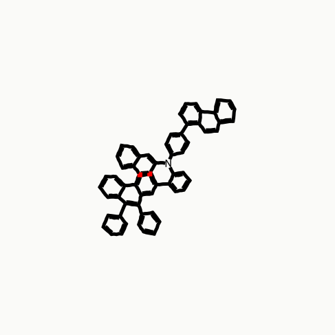 c1ccc(-c2c(-c3ccccc3)c3cc(-c4ccccc4N(c4ccc(-c5cccc6c5ccc5ccccc56)cc4)c4ccc5ccccc5c4)ccc3c3ccccc23)cc1